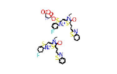 CCn1c(=Cc2sc3ccc(F)cc3[n+]2C)sc(=CC=C2Sc3ccccc3N2C)c1=O.CCn1c(=Cc2sc3ccc(F)cc3[n+]2C)sc(=CC=C2Sc3ccccc3N2C)c1=O.O=C([O-])/C=C\C(=O)[O-]